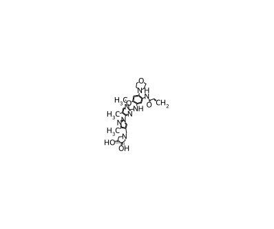 C=CC(=O)Nc1cc(Nc2ncc(C)c(-n3cc(CN4C[C@@H](O)[C@@H](O)C4)c(C)n3)n2)c(OC)cc1N1CCOCC1